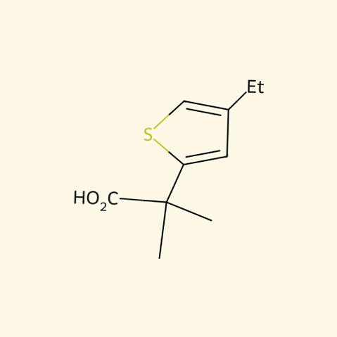 [CH2]Cc1csc(C(C)(C)C(=O)O)c1